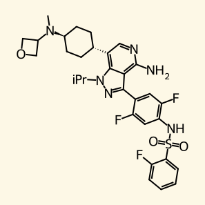 CC(C)n1nc(-c2cc(F)c(NS(=O)(=O)c3ccccc3F)cc2F)c2c(N)ncc([C@H]3CC[C@H](N(C)C4COC4)CC3)c21